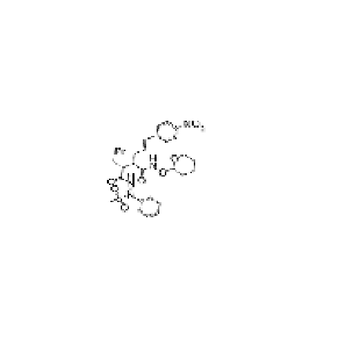 CC(C)C[C@@H](C(=O)NN(c1ccccc1)S(C)(=O)=O)[C@H](CC=Cc1ccc([N+](=O)[O-])cc1)C(=O)NOC1CCCCO1